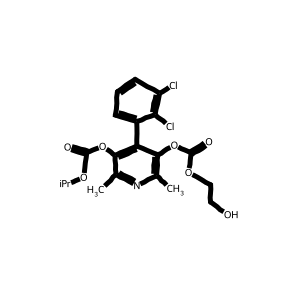 Cc1nc(C)c(OC(=O)OC(C)C)c(-c2cccc(Cl)c2Cl)c1OC(=O)OCCO